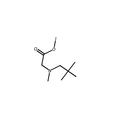 CN(CC(=O)OI)CC(C)(C)C